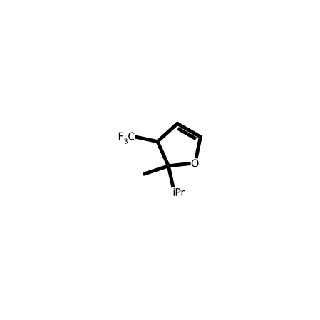 CC(C)C1(C)OC=CC1C(F)(F)F